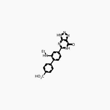 CCNc1cc(-c2nc3[nH]nnc3c(=O)[nH]2)ccc1-c1ccc(C(=O)O)cc1